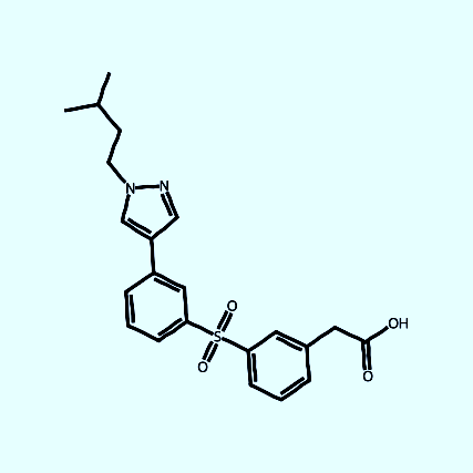 CC(C)CCn1cc(-c2cccc(S(=O)(=O)c3cccc(CC(=O)O)c3)c2)cn1